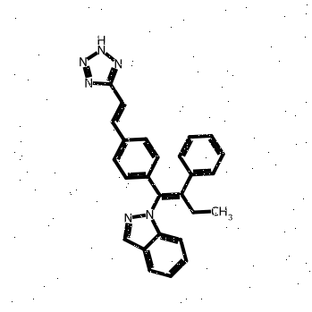 CCC(=C(c1ccc(C=Cc2nn[nH]n2)cc1)n1ncc2ccccc21)c1ccccc1